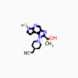 C[C@@H](O)c1nc2cnc3c(ccn3SI)c2n1N1CCC(CC#N)CC1